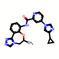 CC1Cn2cnnc2-c2cccc(NC(=O)c3cc(-n4cnc(C5CC5)c4)ccn3)c2O1